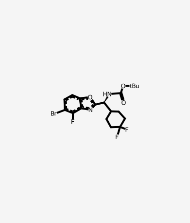 CC(C)(C)OC(=O)N[C@H](c1nc2c(F)c(Br)ccc2o1)C1CCC(F)(F)CC1